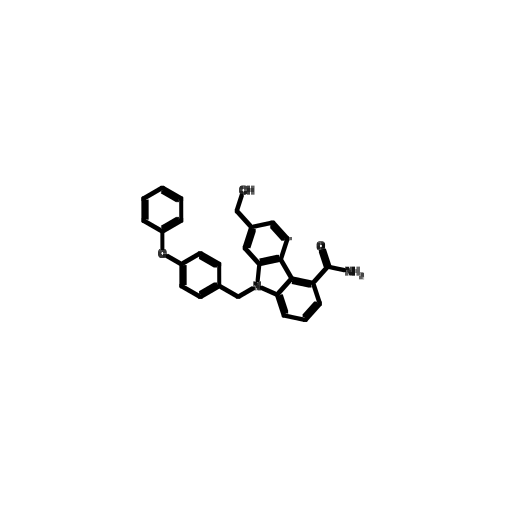 NC(=O)c1cccc2c1c1[c]cc(CO)cc1n2Cc1ccc(Oc2ccccc2)cc1